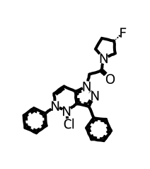 O=C(Cn1nc(-c2ccccc2)c2c1C=CN(c1ccccc1)N2Cl)N1CC[C@H](F)C1